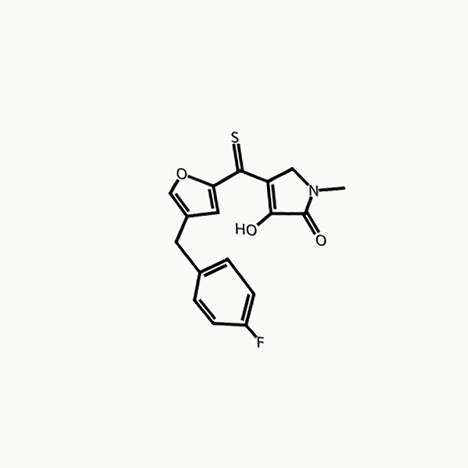 CN1CC(C(=S)c2cc(Cc3ccc(F)cc3)co2)=C(O)C1=O